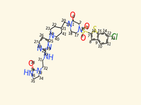 O=C1CN(S(=O)(=O)c2cc3ccc(Cl)cc3s2)CCN1CC1CCN(c2ccnc(NCCN3CCNC3=O)n2)CC1